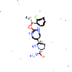 NC(=O)[C@@H]1CC[C@H](c2cnc(OC(c3ccccc3F)C(F)(F)F)nc2)N1